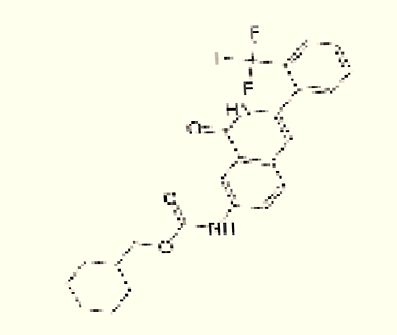 O=C(Nc1ccc2cc(-c3ccccc3C(F)(F)F)[nH]c(=O)c2c1)OCC1CCCCC1